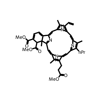 C=Cc1c(C)c2cc3nc(cc4[nH]c(cc5nc(cc1[nH]2)C(C)=C5CCC)c(CCC(=O)OC)c4C)C1(C)C3=CC=C(C(=O)OC)C1C(=O)OC